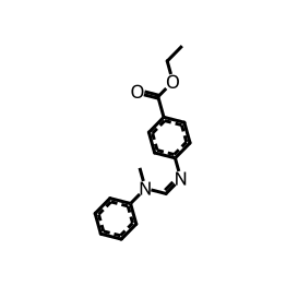 CCOC(=O)c1ccc(/N=C\N(C)c2ccccc2)cc1